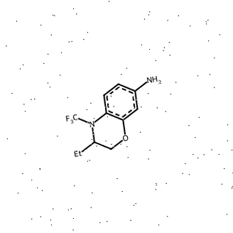 CCC1COc2cc(N)ccc2N1C(F)(F)F